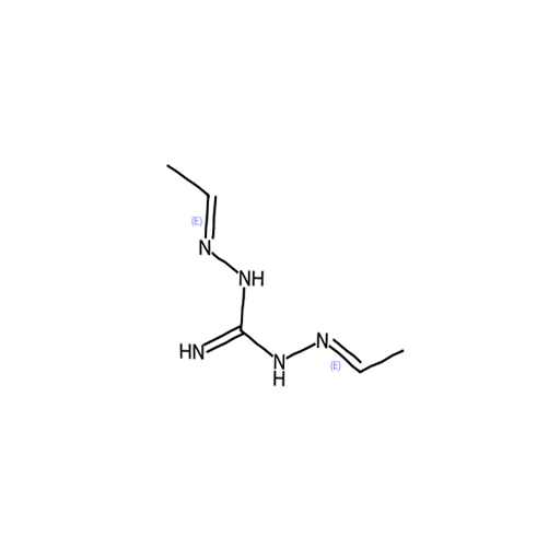 C/C=N/NC(=N)N/N=C/C